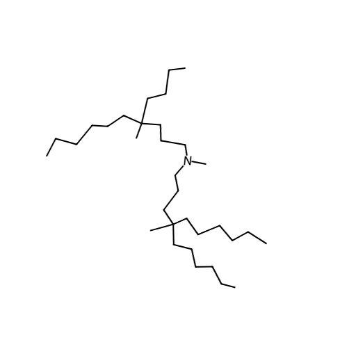 CCCCCCC(C)(CCCC)CCCN(C)CCCC(C)(CCCCCC)CCCCCC